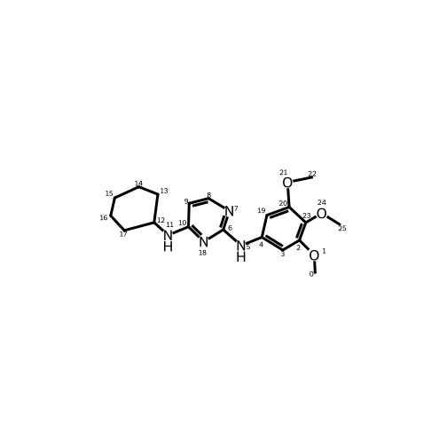 COc1cc(Nc2nccc(NC3CCCCC3)n2)cc(OC)c1OC